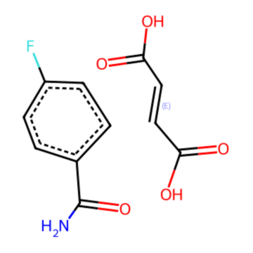 NC(=O)c1ccc(F)cc1.O=C(O)/C=C/C(=O)O